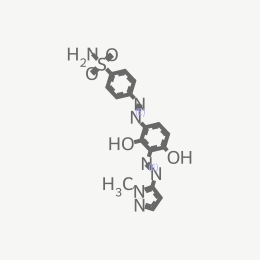 Cn1nccc1/N=N/c1c(O)ccc(/N=N/c2ccc(S(N)(=O)=O)cc2)c1O